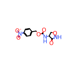 O=C(N[C@H]1CONC1=O)OCc1ccc([N+](=O)[O-])cc1